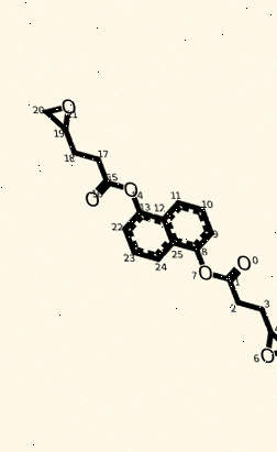 O=C(CCC1CO1)Oc1cccc2c(OC(=O)CCC3CO3)cccc12